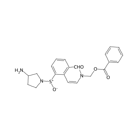 CN(/C=C\c1c(C=O)cccc1[S+]([O-])N1CCC(N)C1)COC(=O)c1ccccc1